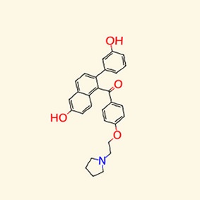 O=C(c1ccc(OCCN2CCCC2)cc1)c1c(-c2cccc(O)c2)ccc2cc(O)ccc12